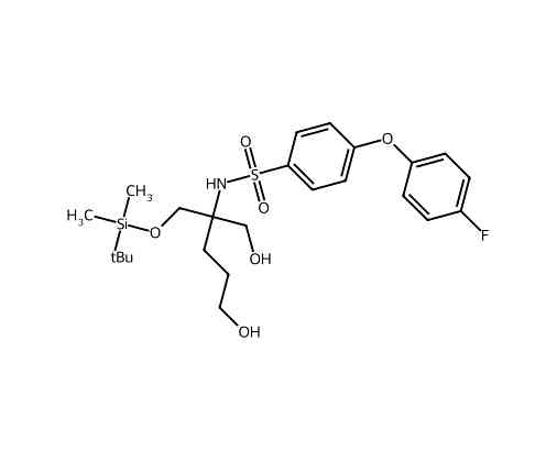 CC(C)(C)[Si](C)(C)OCC(CO)(CCCO)NS(=O)(=O)c1ccc(Oc2ccc(F)cc2)cc1